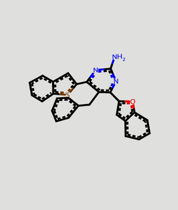 Nc1nc(-c2cc3ccccc3o2)c(Cc2ccccc2)c(-c2cc3ccccc3s2)n1